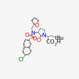 CC(C)(C)C[C@@H](C(=O)O)N1CC[C@H](N(Cc2ccco2)S(=O)(=O)c2ccc3cc(Cl)ccc3c2)C1=O